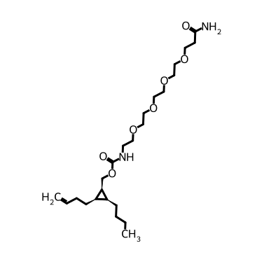 C=CCC[C@@H]1[C@H](CCCC)[C@@H]1COC(=O)NCCOCCOCCOCCOCCC(N)=O